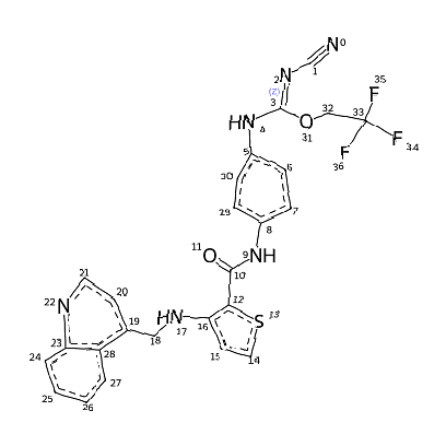 N#C/N=C(/Nc1ccc(NC(=O)c2sccc2NCc2ccnc3ccccc23)cc1)OCC(F)(F)F